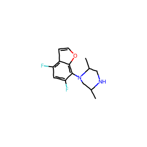 CC1CN(c2c(F)cc(F)c3ccoc23)C(C)CN1